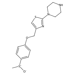 C[S+]([O-])c1ccc(OCc2csc(N3CCNCC3)n2)cc1